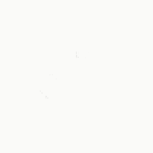 Cn1cc(S(=O)(=O)c2ccc(NC(=O)Oc3ccccc3)cc2)cn1